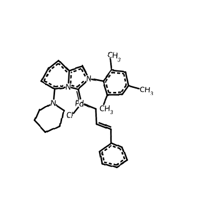 Cc1cc(C)c(-n2cc3cccc(N4CCCCC4)n3[c]2=[Pd]([Cl])[CH2]C=Cc2ccccc2)c(C)c1